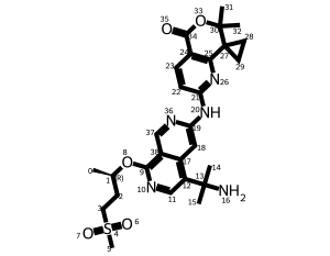 C[C@H](CCS(C)(=O)=O)Oc1ncc(C(C)(C)N)c2cc(Nc3ccc4c(n3)C3(CC3)C(C)(C)OC4=O)ncc12